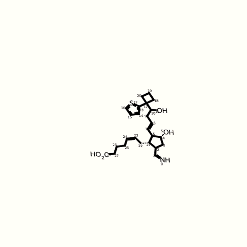 N=CC1C[C@@H](O)C(/C=C/CC(O)C2(c3cccs3)CCC2)[C@H]1C/C=C\CCCC(=O)O